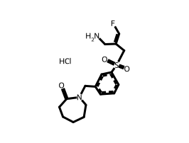 Cl.NC/C(=C\F)CS(=O)(=O)c1cccc(CN2CCCCCC2=O)c1